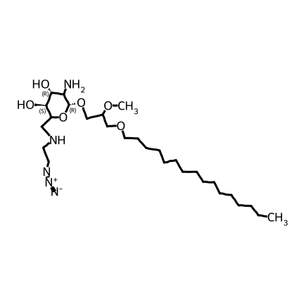 CCCCCCCCCCCCCCCCOCC(CO[C@@H]1OC(CNCCN=[N+]=[N-])[C@@H](O)[C@H](O)C1N)OC